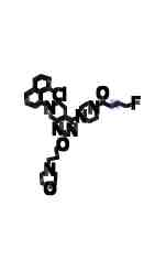 O=C(/C=C/CF)N1CCN(c2nc(OCCCN3CCOCC3)nc3c2CCN(c2cccc4cccc(Cl)c24)C3)CC1